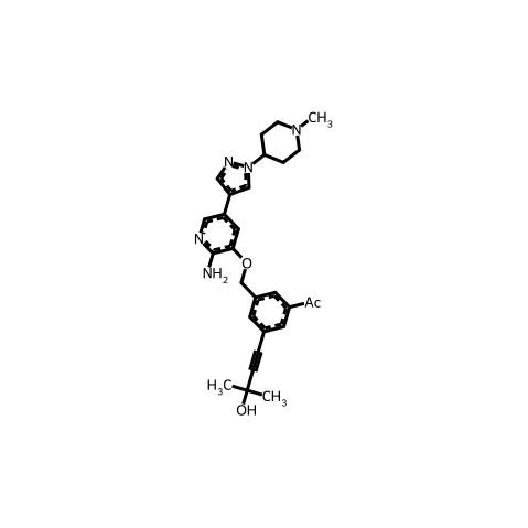 CC(=O)c1cc(C#CC(C)(C)O)cc(COc2cc(-c3cnn(C4CCN(C)CC4)c3)cnc2N)c1